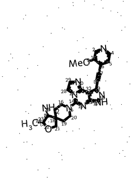 COc1cnccc1C#Cc1n[nH]c2nc(N3CCC4(CC3)CO[C@@H](C)[C@H]4N)n3ccnc3c12